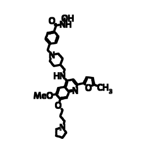 COc1cc2c(NCC3CCN(Cc4ccc(C(=O)NO)cc4)CC3)cc(-c3ccc(C)o3)nc2cc1OCCCN1CCCC1